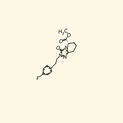 COC(=O)[C@@H]1CCCc2nn(CCc3ccc(F)cc3)c(=O)n21